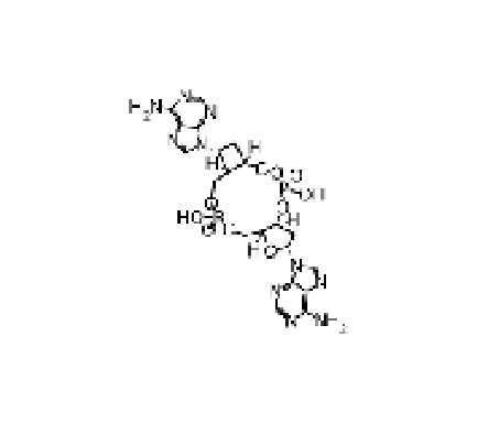 Nc1ncnc2c1ncn2[C@@H]1C[C@@H]2COP(=O)(O)O[C@H]3C[C@H](n4cnc5c(N)ncnc54)O[C@@H]3COP(=O)(O)OC[C@H]21